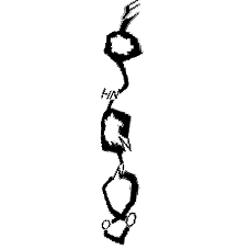 Fc1ccc(CNc2ccc(N3CCC4(CC3)OCCO4)nc2)cc1